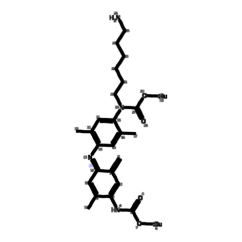 C=C1C=C(NC(=O)OC(C)(C)C)C(C)=C/C1=N/c1cc(C)c(N(CCCCCCN)C(=O)OC(C)(C)C)cc1C